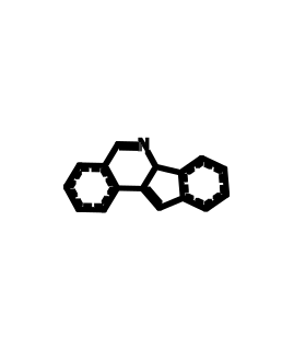 C1=NC2C(=Cc3ccccc32)c2ccccc21